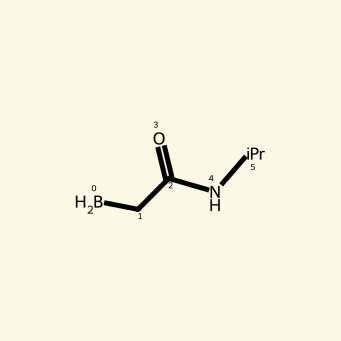 BCC(=O)NC(C)C